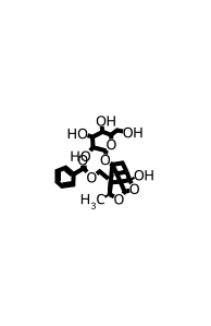 C[C@]12CC34C(O[C@@]3(O)C3CC1(OC1OC(CO)C(O)C(O)C1O)[C@@]34CCOC(=O)c1ccccc1)O2